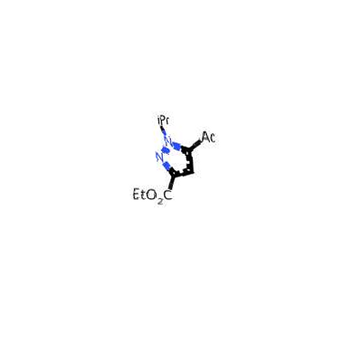 CCOC(=O)c1cc(C(C)=O)n(C(C)C)n1